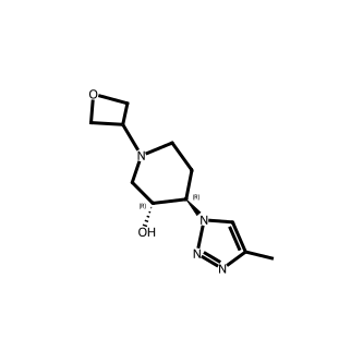 Cc1cn([C@@H]2CCN(C3COC3)C[C@H]2O)nn1